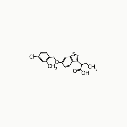 CCC(C(=O)O)c1csc2cc(OCc3ccc(Cl)cc3C)ccc12